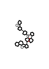 c1ccc(-c2ccccc2N(c2ccc(-c3ccc4oc5ccccc5c4c3)cc2)c2ccc(-c3cccc4oc5c6ccccc6ccc5c34)cc2)cc1